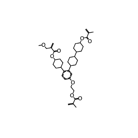 C=C(C)C(=O)OCCOc1ccc(C2CCC(OC(=O)C(=C)COC)CC2)c(C2CCC(C3CCC(OC(=O)C(=C)C)CC3)CC2)c1